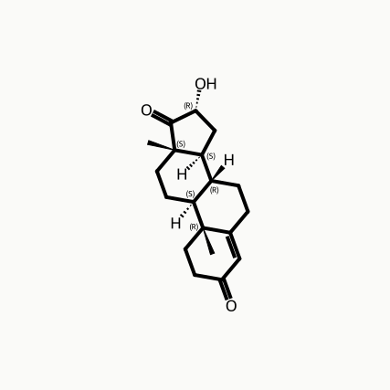 C[C@]12CCC(=O)C=C1CC[C@@H]1[C@@H]2CC[C@]2(C)C(=O)[C@H](O)C[C@@H]12